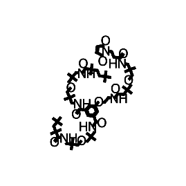 CC(C)(C)CCC(C)(C)C(=O)NCC(C)(C)COCC(C)(C)CNC(=O)c1cc(OCCNC(=O)CC(C)(C)COCC(C)(C)CNC(=O)CCN2C(=O)C=CC2=O)cc(C(=O)NCC(C)(C)COCC(C)(C)CNC(=O)C(C)(C)CC(C)(C)C)c1